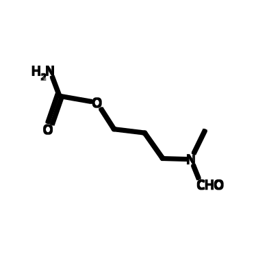 CN(C=O)CCCOC(N)=O